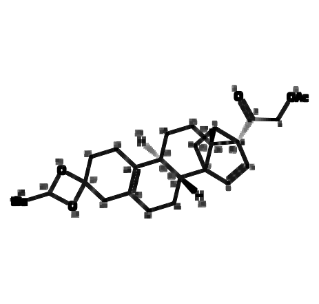 CC(=O)OCC(=O)[C@@]12C=CC3(CC1)[C@@H]1CCC4=C(CCC5(C4)OC(C(C)(C)C)O5)[C@H]1CC[C@@]32C